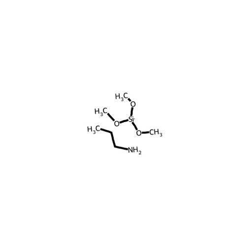 CCCN.CO[Si](OC)OC